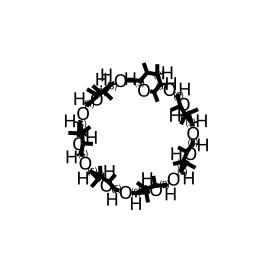 CC1[C@@H]2OC(C)[C@@H](O[C@@H]3OC(C)[C@@H](O[C@@H]4OC(C)[C@@H](O[C@H]5OC(C)[C@@H](O[C@@H]6OC(C)[C@@H](O[C@@H]7OC(C)[C@@H](O[C@@H]8OC(C)[C@@H](O2)[C@H](C)C8C)[C@H](C)C7C)[C@H](C)C6C)[C@H](C)C5C)[C@H](C)C4C)[C@H](C)C3C)[C@@H]1C